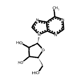 Cc1ncnc2c1ncn2[C@@H]1O[C@H](CO)C(O)C1O